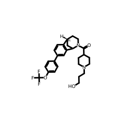 O=C(C1CCN(CCCO)CC1)N1CC[C@@H]2CC1c1cc(-c3ccc(OC(F)(F)F)cc3)ccc12